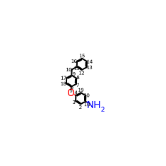 Nc1ccc(Oc2ccc(Cc3ccccc3)cc2)cc1